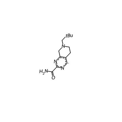 CC(C)(C)CN1CCc2[c]nc(C(N)=O)nc2C1